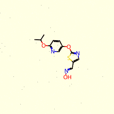 CC(C)Oc1ccc(Oc2ncc(C=NO)s2)cn1